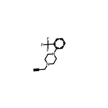 C#CCN1CCN(c2ccccc2C(F)(F)F)CC1